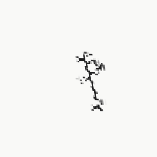 CC(=O)NCCCCC(N)C(CC(N)C(=O)O)OO